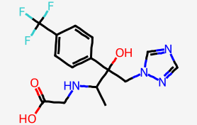 CC(NCC(=O)O)C(O)(Cn1cncn1)c1ccc(C(F)(F)F)cc1